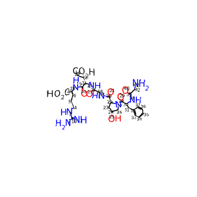 N=C(N)NCCC[C@H](NC(=O)[C@H](CCC(=O)O)NC(=O)CNC(=O)[C@@H]1C[C@@H](O)CN1C(=O)[C@H](Cc1ccccc1)NC(=O)CN)C(=O)O